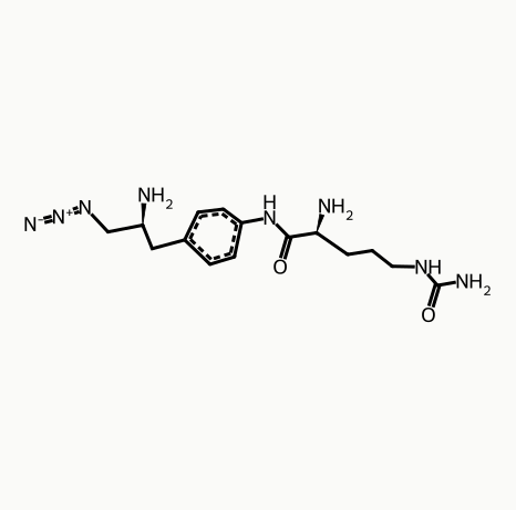 [N-]=[N+]=NC[C@@H](N)Cc1ccc(NC(=O)[C@@H](N)CCCNC(N)=O)cc1